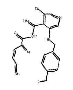 N=C/C=C\C(=N)C(=O)NC(=N)c1c(Cl)cncc1NCc1ccc(CF)cc1